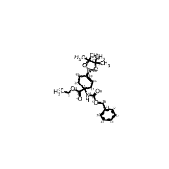 CCOC(=O)C1(NC(=O)OCc2ccccc2)CC=C(B2OC(C)(C)C(C)(C)O2)CC1